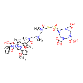 COc1cccc(OC)c1-c1cc(C(=O)NC2(C(=O)O)C3CC4CC(C3)CC2C4)nn1-c1ccc(C(=O)N(C)CCCN(C)CCCN(C)C(=O)CSCCS(=O)(=O)CCN2CCN(CC(=O)O)CCN(CC(=O)O)CCN(CC(=O)O)CC2)cc1C(C)C